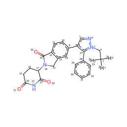 [2H]C([2H])([2H])Cn1ncc(-c2ccc3c(c2)CN(C2CCC(=O)NC2=O)C3=O)c1-c1ccccc1